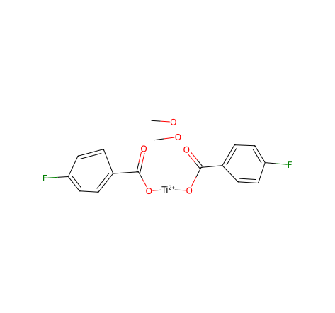 C[O-].C[O-].O=C([O][Ti+2][O]C(=O)c1ccc(F)cc1)c1ccc(F)cc1